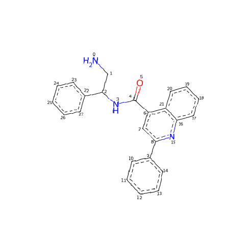 NCC(NC(=O)c1cc(-c2ccccc2)nc2ccccc12)c1ccccc1